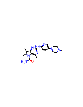 Cc1c(C)n(C(N)=O)c2c(C)nc(Nc3ccc(N4CCN(C)CC4)cn3)nc12